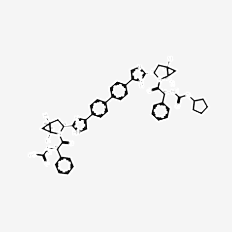 O=C(O)N[C@@H](C(=O)N1[C@@H]2C[C@@H]2C[C@H]1c1nc(-c2ccc(-c3ccc(-c4cnc([C@@H]5C[C@@H]6C[C@H]6N5C(=O)[C@H](NC(=O)OC5CCCC5)c5ccccc5)[nH]4)cc3)cc2)c[nH]1)c1ccccc1